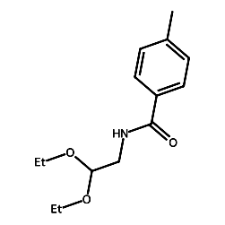 CCOC(CNC(=O)c1ccc(C)cc1)OCC